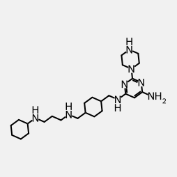 Nc1cc(NCC2CCC(CNCCCNC3CCCCC3)CC2)nc(N2CCNCC2)n1